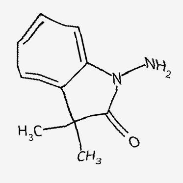 CC1(C)C(=O)N(N)c2ccccc21